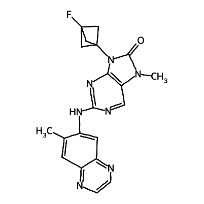 Cc1cc2nccnc2cc1Nc1ncc2c(n1)n(C13CC(F)(C1)C3)c(=O)n2C